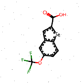 O=C(O)c1cc2cc(OC(F)(F)F)ccc2[se]1